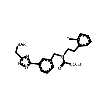 CCCCCCCCCCCc1noc(-c2cccc(CN(CCc3ccccc3F)C(=O)C(=O)OCC)c2)n1